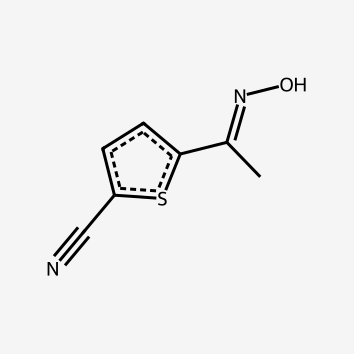 CC(=NO)c1ccc(C#N)s1